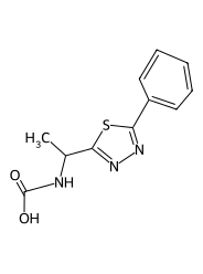 CC(NC(=O)O)c1nnc(-c2ccccc2)s1